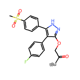 CC(C)(C)C(=O)COc1n[nH]c(-c2ccc(S(C)(=O)=O)cc2)c1-c1ccc(F)cc1